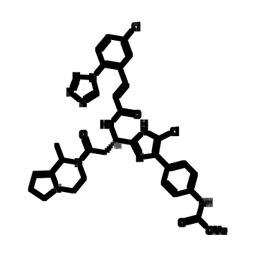 COC(=O)Nc1ccc(-c2nc([C@H](CC(=O)N3CCN4CCC=C4C3C)NC(=O)C=Cc3cc(Cl)ccc3-n3cnnn3)[nH]c2Cl)cc1